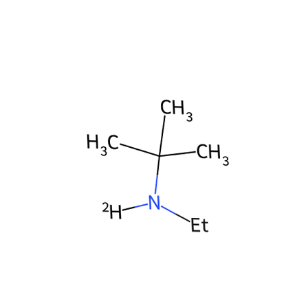 [2H]N(CC)C(C)(C)C